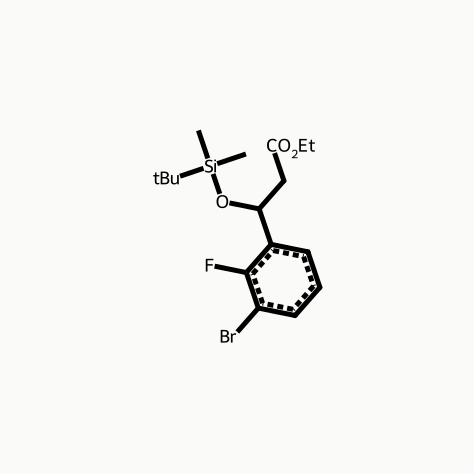 CCOC(=O)CC(O[Si](C)(C)C(C)(C)C)c1cccc(Br)c1F